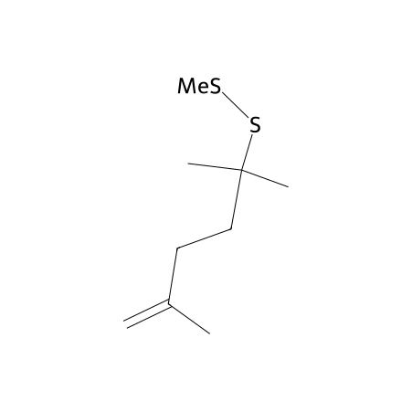 C=C(C)CCC(C)(C)SSC